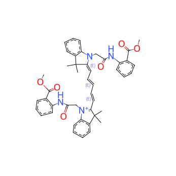 COC(=O)c1ccccc1NC(=O)CN1/C(=C/C=C/C=C/C2=[N+](CC(=O)Nc3ccccc3C(=O)OC)c3ccccc3C2(C)C)C(C)(C)c2ccccc21